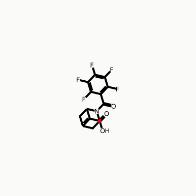 O=C(O)C1=C2CCN(C(=O)c3c(F)c(F)c(F)c(F)c3F)C1C2